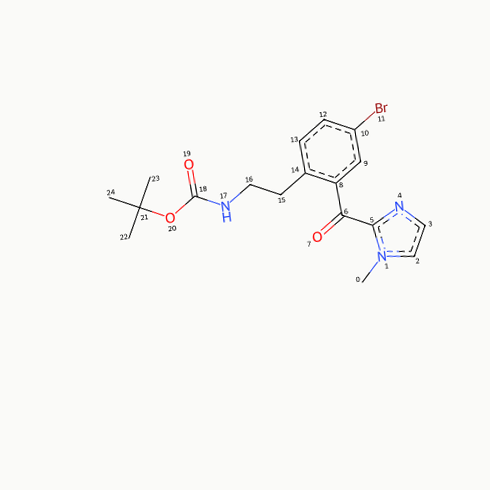 Cn1ccnc1C(=O)c1cc(Br)ccc1CCNC(=O)OC(C)(C)C